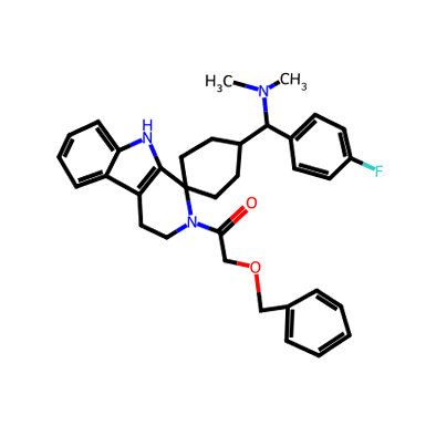 CN(C)C(c1ccc(F)cc1)C1CCC2(CC1)c1[nH]c3ccccc3c1CCN2C(=O)COCc1ccccc1